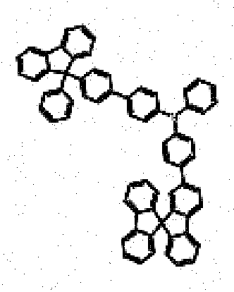 c1ccc(N(c2ccc(-c3ccc(C4(c5ccccc5)c5ccccc5-c5ccccc54)cc3)cc2)c2ccc(-c3ccc4c(c3)C3(c5ccccc5-c5ccccc53)c3ccccc3-4)cc2)cc1